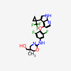 C[C@]1(CO)CN=C(Nc2cc(F)c(Oc3ccnc4[nH]cc(C5(C(F)(F)F)CC5)c34)c(F)c2)OC1